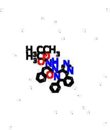 CC(C)(C)OC(=O)NC(Cc1ccccc1)C(=O)NC1N=C(c2ccccc2)c2ccccc2-c2ncncc21